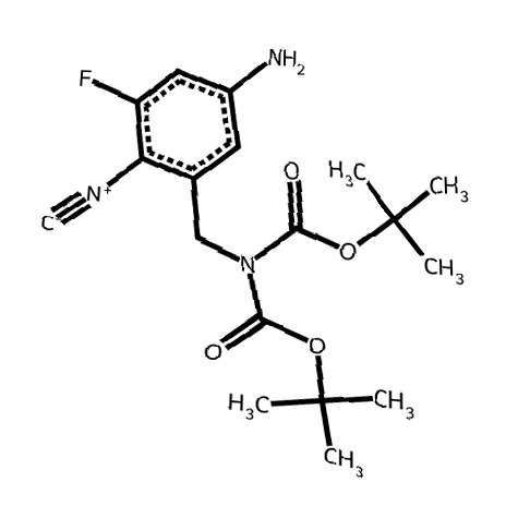 [C-]#[N+]c1c(F)cc(N)cc1CN(C(=O)OC(C)(C)C)C(=O)OC(C)(C)C